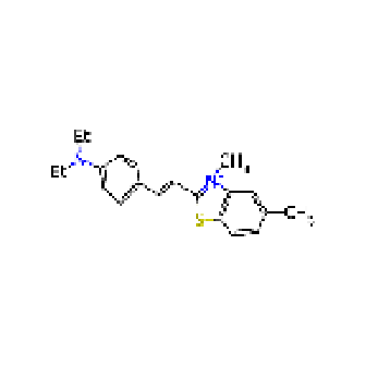 CCN(CC)c1ccc(/C=C/c2sc3ccc(C)cc3[n+]2C)cc1